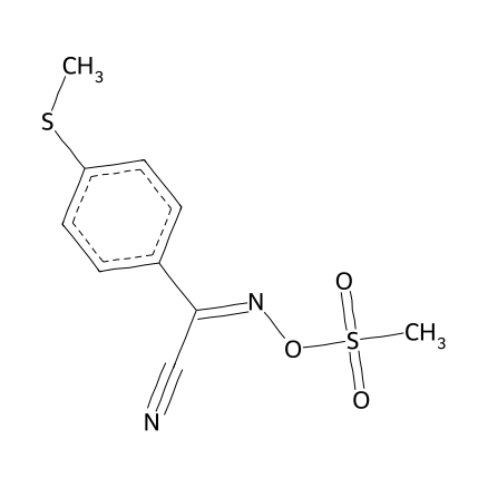 CSc1ccc(C(C#N)=NOS(C)(=O)=O)cc1